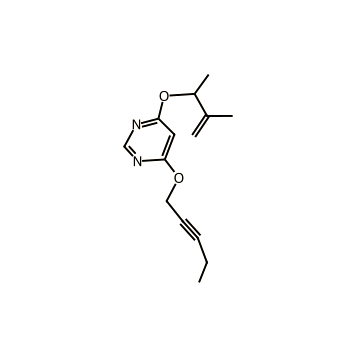 C=C(C)C(C)Oc1cc(OCC#CCC)ncn1